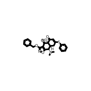 CN(C)[C@@H]1c2onc(OCc3ccccc3)c2C(=O)[C@@]2(O)C(=O)C=C(Sc3ccccc3)C[C@@H]12